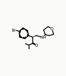 CC(C)C(=O)[C@H](CNC1CCOCC1)c1ccc(Br)cc1